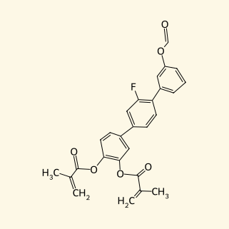 C=C(C)C(=O)Oc1ccc(-c2ccc(-c3cccc(OC=O)c3)c(F)c2)cc1OC(=O)C(=C)C